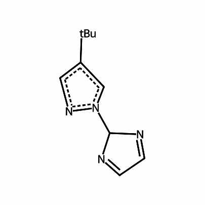 CC(C)(C)c1cnn(C2N=CC=N2)c1